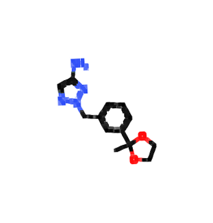 CC1(c2cccc(Cn3ncc(N)n3)c2)OCCO1